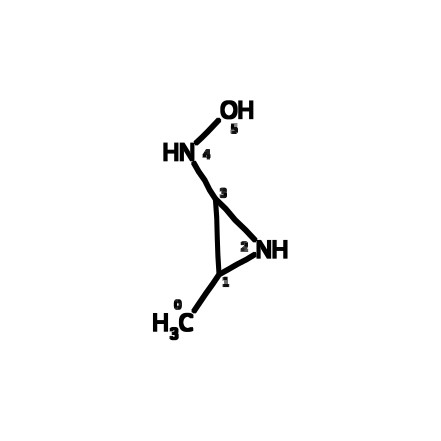 CC1NC1NO